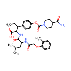 CCC(c1ccc(OC(=O)N2CCC(C(N)=O)CC2)cc1)C(NC(=O)C(CC(C)C)NC(=O)COc1ccccc1C)C(=O)O